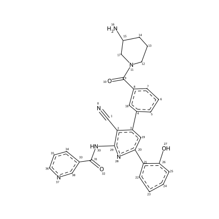 N#Cc1c(-c2cccc(C(=O)N3CCCC(N)C3)c2)cc(-c2ccccc2O)nc1NC(=O)c1cccnc1